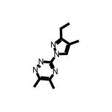 CCc1nn(-c2nnc(C)c(C)n2)cc1C